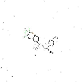 C=C(CCC(=C)c1ccc2c(c1)CC(F)(F)C(F)(F)S2)c1ccc(C(F)(F)F)cc1